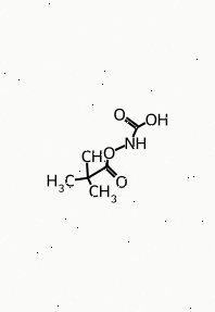 CC(C)(C)C(=O)ONC(=O)O